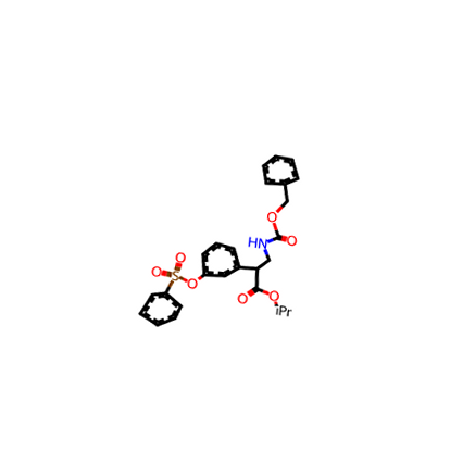 CC(C)OC(=O)C(CNC(=O)OCc1ccccc1)c1cccc(OS(=O)(=O)c2ccccc2)c1